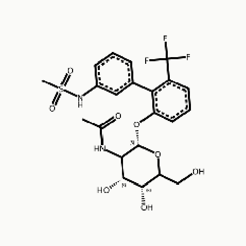 CC(=O)NC1[C@H](Oc2cccc(C(F)(F)F)c2-c2cccc(NS(C)(=O)=O)c2)OC(CO)[C@H](O)[C@@H]1O